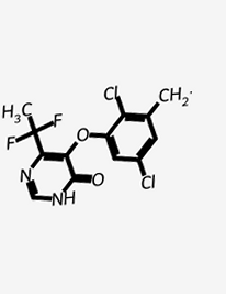 [CH2]c1cc(Cl)cc(Oc2c(C(C)(F)F)nc[nH]c2=O)c1Cl